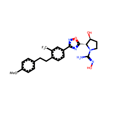 COc1ccc(CCc2ccc(-c3noc([C@@H]4[C@@H](O)CCN4/C(N)=N/O)n3)cc2C(F)(F)F)cc1